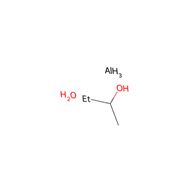 CCC(C)O.O.[AlH3]